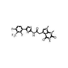 Cn1c(=O)c2c(CC(=O)Nc3nc(-c4ccc(F)c(C(F)(F)F)c4F)cs3)cn(C)c2n(C)c1=O